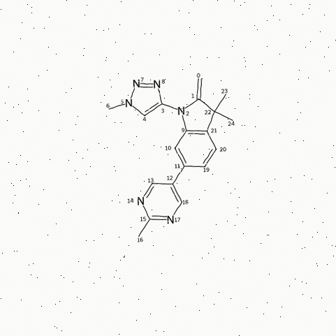 C=C1N(c2cn(C)nn2)c2cc(-c3cnc(C)nc3)ccc2C1(C)C